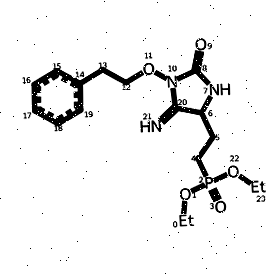 CCOP(=O)(CCC1NC(=O)N(OCCc2ccccc2)C1=N)OCC